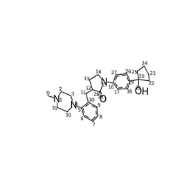 CN1CCN(c2ccccc2CC2CCN(c3ccc(C4(O)CCCC4)cc3)C2=O)CC1